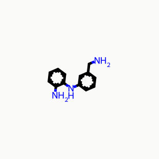 NCc1cccc(Nc2ccccc2N)c1